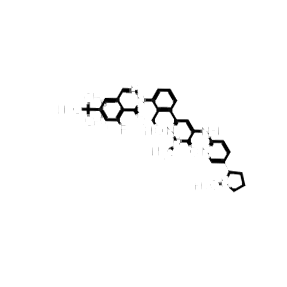 CN1CCC[C@@H]1c1ccc(Nc2cc(-c3cccc(-n4ncc5cc(C(C)(C)C)cc(F)c5c4=O)c3CO)nn(C)c2=O)nc1